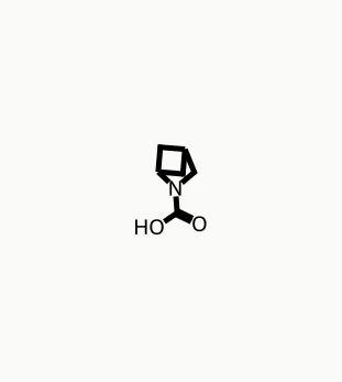 O=C(O)N1CC2CC1C2